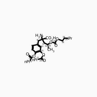 CCCC(=O)Oc1ccc(CC(N)(C[C@H](C)OC(=O)OCCC(C)C)C(=O)O)cc1OC(=O)CCC